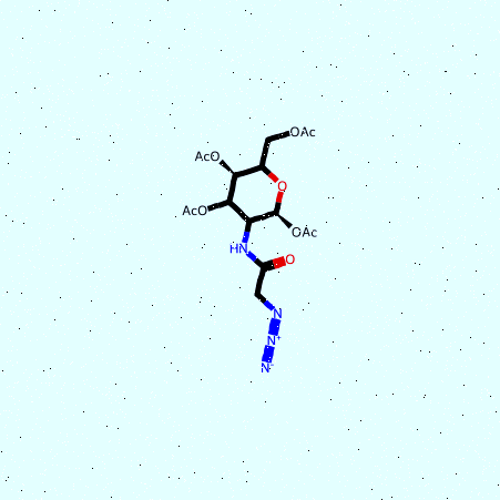 CC(=O)OCC1O[C@@H](OC(C)=O)C(NC(=O)CN=[N+]=[N-])C(OC(C)=O)[C@H]1OC(C)=O